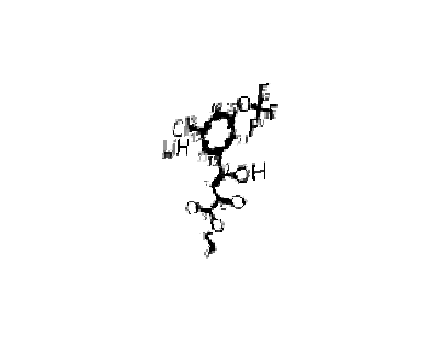 CCOC(=O)C(=O)C=C(O)c1cc(Cl)cc(OC(F)(F)F)c1.[LiH]